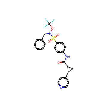 O=C(Nc1ccc(S(=O)(=O)N(Cc2ccccc2)OC(F)(F)F)cc1)C1CC1c1ccncc1